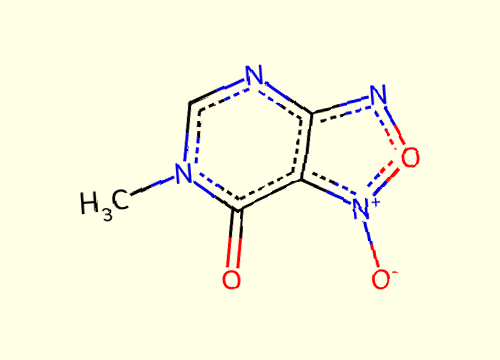 Cn1cnc2no[n+]([O-])c2c1=O